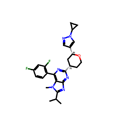 CC(C)c1nc2nc([C@H]3CCO[C@@H](c4cnn(C5CC5)c4)C3)nc(-c3ccc(F)cc3F)c2n1C